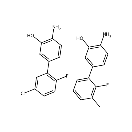 Cc1cccc(-c2ccc(N)c(O)c2)c1F.Nc1ccc(-c2cc(Cl)ccc2F)cc1O